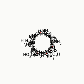 Cc1cccc(C[C@@H]2NC(=O)[C@H](CC(=O)O)NC(=O)[C@H](Cc3ccc(OCC(=O)O)cc3)NC(=O)[C@@H](CC(C)C)NC(=O)CSC[C@@H](C(=O)N[C@@H](CCN)C(N)=O)NC(=O)[C@H](CCCN)NC(=O)[C@H](C(C)C)NC(=O)[C@H](CC3CCCCC3)NC(=O)[C@H](CCN)NC(=O)[C@@H](CC(C)C)NC(=O)[C@H](C)N(C)C(=O)[C@H](CCC(N)=O)NC(=O)[C@H](Cc3ccc(-c4ccccc4)cc3)NC(=O)[C@H](Cc3ccc(C(=O)O)cc3)NC2=O)c1